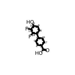 O=C(O)c1ccc(-c2ccc(O)c(F)c2F)cc1